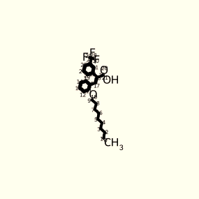 CCCCCCCCCCOc1ccccc1/C=C(/C(=O)O)c1cccc(C(F)(F)F)c1